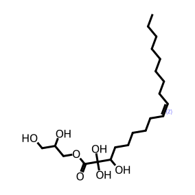 CCCCCCCC/C=C\CCCCCC(O)C(O)(O)C(=O)OCC(O)CO